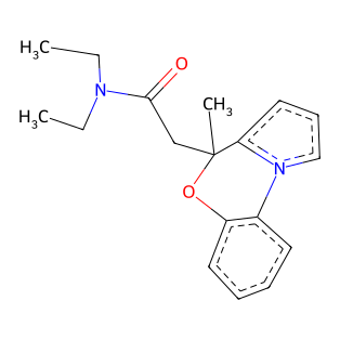 CCN(CC)C(=O)CC1(C)Oc2ccccc2-n2cccc21